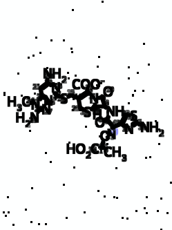 C[C@@H](O/N=C(\C(=O)NC1C(=O)N2C(C(=O)[O-])=C(CSc3nc(N)cc4n(C)c(N)n[n+]34)CS[C@@H]12)c1csc(N)n1)C(=O)O